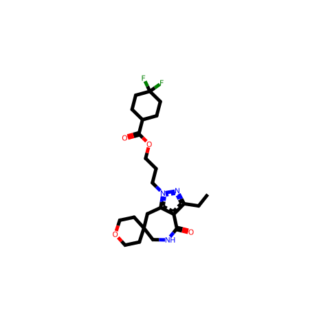 CCc1nn(CCCOC(=O)C2CCC(F)(F)CC2)c2c1C(=O)NCC1(CCOCC1)C2